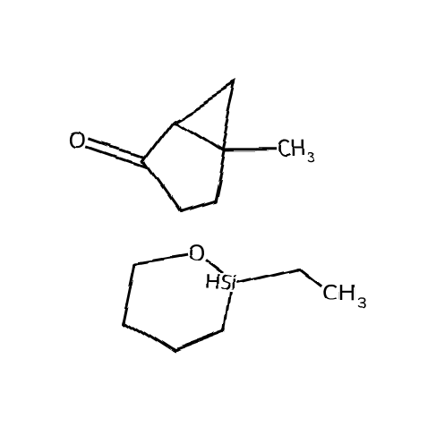 CC12CCC(=O)C1C2.CC[SiH]1CCCCO1